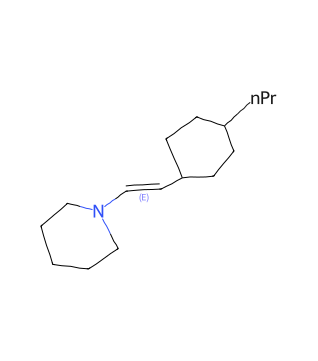 CCCC1CCC(/C=C/N2CCCCC2)CC1